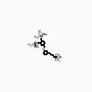 CC(C)(O)CCCCc1cccc(OCc2ccc(CO[Si](C)(C)C(C)(C)C)c(CO[Si](C)(C)C(C)(C)C)c2)c1